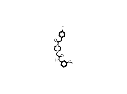 COc1cccc(NC(=O)CN2CCN(C(=O)Cc3ccc(F)cc3)CC2)c1